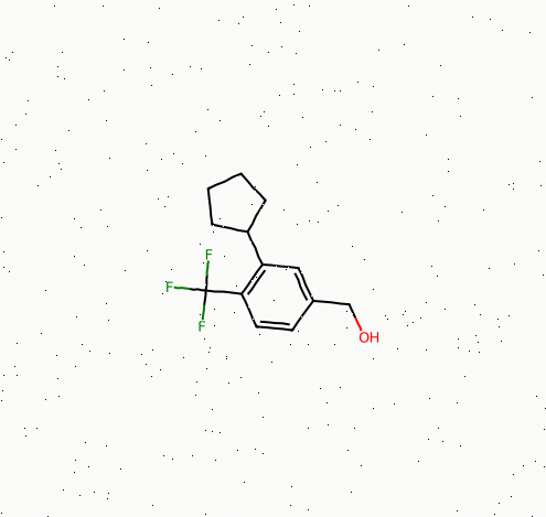 OCc1ccc(C(F)(F)F)c(C2CCCC2)c1